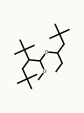 CCC(CC(C)(C)C)OC(OC)C(CC(C)(C)C)C(C)(C)C